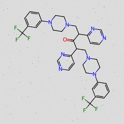 O=C(C(CN1CCN(c2cccc(C(F)(F)F)c2)CC1)c1ccncn1)C(CN1CCN(c2cccc(C(F)(F)F)c2)CC1)c1ccncn1